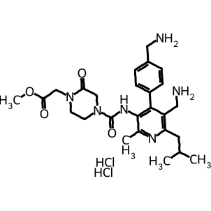 COC(=O)CN1CCN(C(=O)Nc2c(C)nc(CC(C)C)c(CN)c2-c2ccc(CN)cc2)CC1=O.Cl.Cl